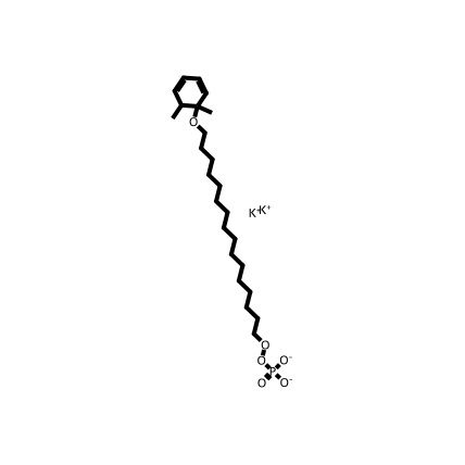 CC1C=CC=CC1(C)OCCCCCCCCCCCCCCCCOOP(=O)([O-])[O-].[K+].[K+]